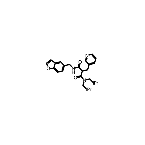 CC(C)CN(CC(C)C)C(=O)C(Cc1cccnc1)C(=O)NCc1ccc2occc2c1